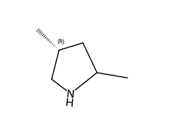 CC1C[C@@H](C)CN1